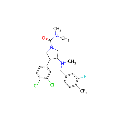 CN(C)C(=O)N1CC(c2ccc(Cl)c(Cl)c2)C(N(C)Cc2ccc(C(F)(F)F)c(F)c2)C1